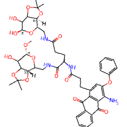 CO[C@@H]1OC(CNC(=O)C(CCC(=O)NCC2O[C@@H](O)C(O)C3OC(C)(C)O[C@@H]23)NC(=O)CCc2cc(Oc3ccccc3)c(N)c3c2C(=O)c2ccccc2C3=O)[C@@H]2OC(C)(C)OC2C1O